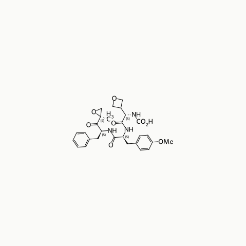 COc1ccc(C[C@H](NC(=O)[C@@H](NC(=O)O)C2COC2)C(=O)N[C@@H](Cc2ccccc2)C(=O)[C@]2(C)CO2)cc1